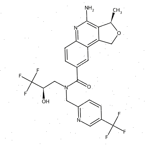 C[C@H]1OCc2c1c(N)nc1ccc(C(=O)N(Cc3ccc(C(F)(F)F)cn3)C[C@@H](O)C(F)(F)F)cc21